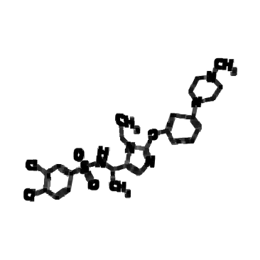 CCn1c(C(C)NS(=O)(=O)c2ccc(Cl)c(Cl)c2)cnc1Oc1cccc(N2CCN(C)CC2)c1